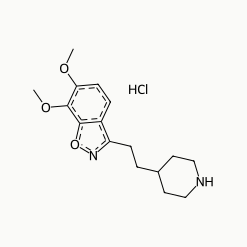 COc1ccc2c(CCC3CCNCC3)noc2c1OC.Cl